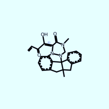 C=CC(=O)/C(O)=C1/C(=O)N(C)CN(C23c4ccccc4CC2(C)Cc2ccccc23)N1C